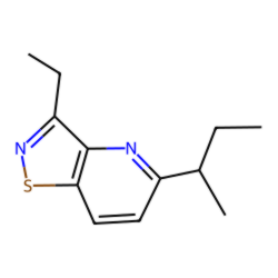 CCc1nsc2ccc(C(C)CC)nc12